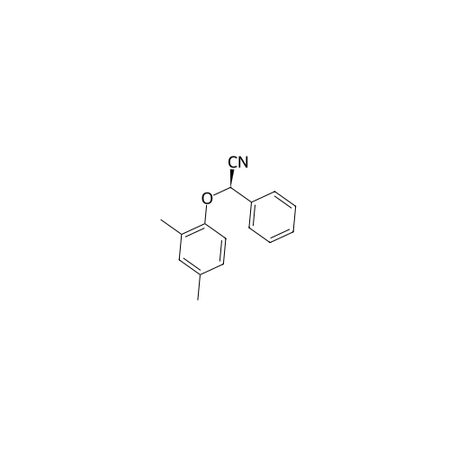 Cc1ccc(O[C@@H](C#N)c2ccccc2)c(C)c1